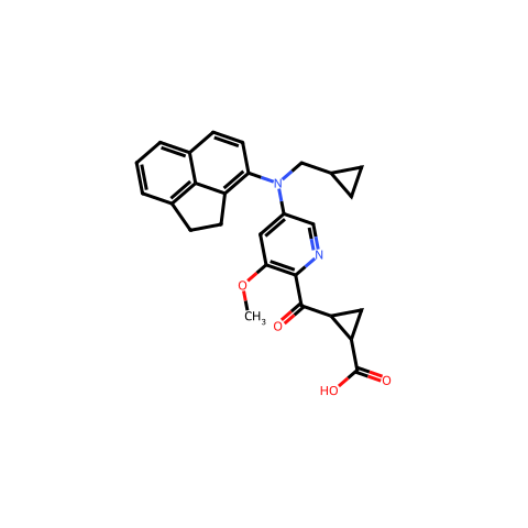 COc1cc(N(CC2CC2)c2ccc3cccc4c3c2CC4)cnc1C(=O)C1CC1C(=O)O